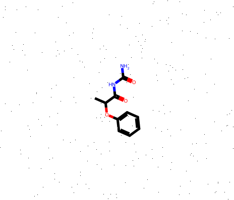 CC(Oc1ccccc1)C(=O)NC(N)=O